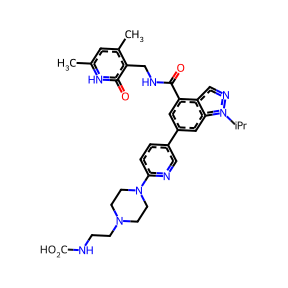 Cc1cc(C)c(CNC(=O)c2cc(-c3ccc(N4CCN(CCNC(=O)O)CC4)nc3)cc3c2cnn3C(C)C)c(=O)[nH]1